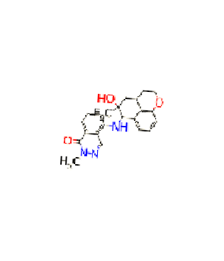 Cn1ncc2c(NC3c4cccc5c4C(CCO5)CC3(O)C(F)(F)F)cccc2c1=O